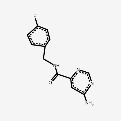 Nc1cc(C(=O)NCc2ccc(F)cc2)ncn1